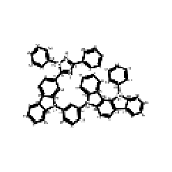 c1ccc(-c2nc(-c3ccc4c5ccccc5n(-c5cccc(-n6c7ccccc7c7c6ccc6c8ccccc8n(-c8ccccc8)c67)c5)c4c3)n(-c3ccccc3)n2)cc1